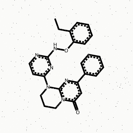 CCc1ccccc1ONc1nccc(N2CCCn3c2nc(-c2ccccc2)cc3=O)n1